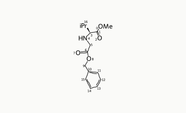 COC(=O)[C@@H](NCC(=O)OCc1ccccc1)C(C)C